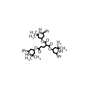 CC(C)C1CC(OC(=O)CCC(C(=O)OC2CC(C(C)C)NC(C)(C)C2)C(=O)OC2CC(C(C)C)NC(C)(C)C2)CC(C)(C)N1